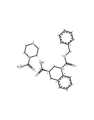 NC(=O)N1CCOCC1.O=C(O)[C@@H]1Cc2ccccc2N(C(=O)OCc2ccccc2)C1